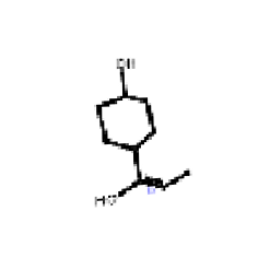 C/C=C(/O)C1CCC(O)CC1